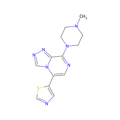 CN1CCN(c2ncc(-c3cncs3)n3cnnc23)CC1